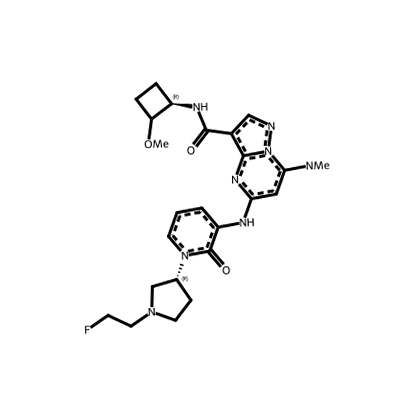 CNc1cc(Nc2cccn([C@@H]3CCN(CCF)C3)c2=O)nc2c(C(=O)N[C@@H]3CCC3OC)cnn12